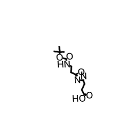 CC(C)(C)OC(=O)NCCc1nc(CCC(=O)O)no1